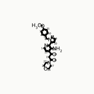 COc1ccc(Cn2nccc2-c2nccc(C(=O)CC(=O)N3CCOCC3)c2N)cc1